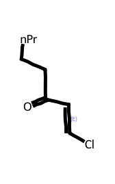 CCCCCC(=O)/C=C/Cl